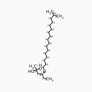 CCN(CC(C)(O)O)OCCCCCCCCCCCCCCCC(C)C